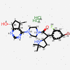 C[C@@H]1C[C@@H](O)c2ncnc(N3CCN(C(=O)C(c4ccc(Br)cc4F)C4CCC(C)(C)N4)CC3)c21.Cl.Cl